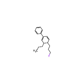 CCCC1C=C(c2ccccc2)C=CC1CCCI